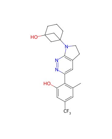 Cc1cc(C(F)(F)F)cc(O)c1-c1cc2c(nn1)N(C13CCCC(O)(C1)C3)CC2